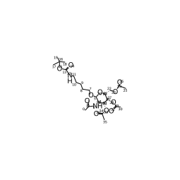 CC(=O)N[C@H]1C(OCCCCCNC(=O)OC(C)(C)C)O[C@H](COC(C)=O)[C@H](OC(C)=O)[C@@H]1OC(C)=O